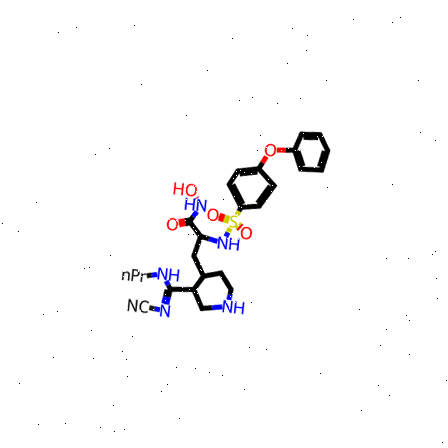 CCCN/C(=N\C#N)C1CNCCC1CC(NS(=O)(=O)c1ccc(Oc2ccccc2)cc1)C(=O)NO